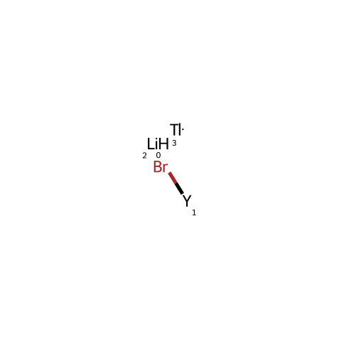 [Br][Y].[LiH].[Tl]